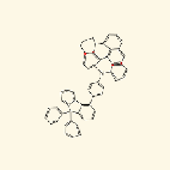 c1ccc(N(c2ccc(-c3cccc4c3-c3ccccc3C4(c3ccccc3)c3ccccc3)cc2)c2ccccc2-c2cccc3cccc(C4CCCCC4)c23)cc1